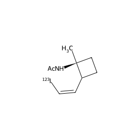 CC(=O)N[C@@]1(C)CCC1/C=C\[123I]